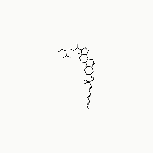 C/C=C/C=C/C=C/C(=O)O[C@H]1CC[C@@]2(C)C(=CCC3C4CCC([C@H](C)CC[C@@H](CC)C(C)C)[C@@]4(C)CCC32)C1